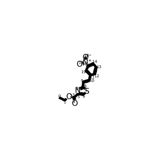 CCOC(=O)c1csc(/C=C/c2cccc([N+](=O)[O-])c2)n1